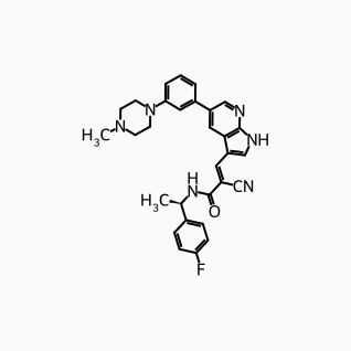 C[C@@H](NC(=O)/C(C#N)=C/c1c[nH]c2ncc(-c3cccc(N4CCN(C)CC4)c3)cc12)c1ccc(F)cc1